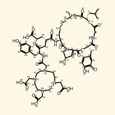 CC(C)C[C@@H]1CC(=O)CNC(=O)[C@H](Cc2ccc(O)c(Cl)c2)CC(=O)[C@@H]2C[C@@H](O)CN2C(=O)[C@@H](NC(=O)[C@@H](CCC(=O)O)CC(=O)[C@H](Cc2ccc(O)cc2)NC(=O)CN2CCN(CC(=O)O)CCN(CC(=O)O)CCN(CC(=O)O)CC2)CSSC[C@@H](C)NC1=O